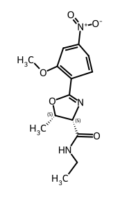 CCNC(=O)[C@H]1N=C(c2ccc([N+](=O)[O-])cc2OC)O[C@H]1C